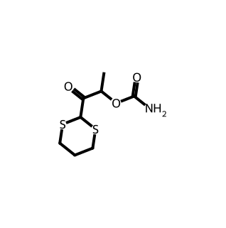 CC(OC(N)=O)C(=O)C1SCCCS1